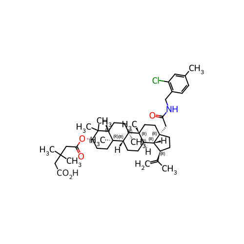 C=C(C)[C@@H]1CC[C@]2(CC(=O)NCc3ccc(C)cc3Cl)CC[C@]3(C)[C@H](CC[C@@H]4[C@@]5(C)CC[C@H](OC(=O)CC(C)(C)CC(=O)O)C(C)(C)[C@@H]5CC[C@]43C)[C@@H]12